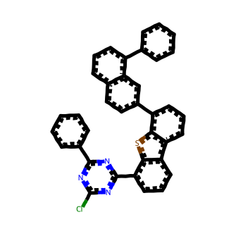 Clc1nc(-c2ccccc2)nc(-c2cccc3c2sc2c(-c4ccc5cccc(-c6ccccc6)c5c4)cccc23)n1